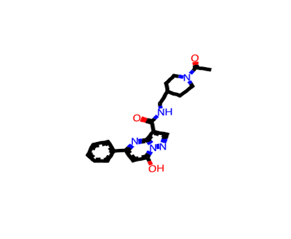 CC(=O)N1CCC(CNC(=O)c2cnn3c(O)cc(-c4ccccc4)nc23)CC1